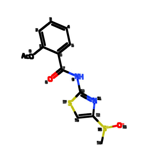 CC(=O)Oc1ccccc1C(=O)Nc1nc([S+](C)[O-])cs1